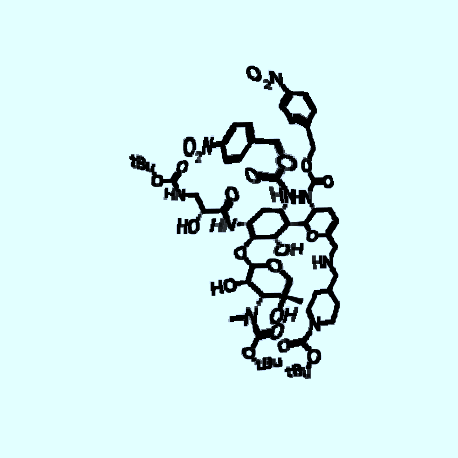 CN(C(=O)OC(C)(C)C)[C@@H]1[C@@H](O)[C@@H](O[C@@H]2[C@@H](O)[C@H](C3OC(CNCC4CCN(C(=O)OC(C)(C)C)CC4)=CC[C@H]3NC(=O)OCc3ccc([N+](=O)[O-])cc3)[C@@H](NC(=O)OCc3ccc([N+](=O)[O-])cc3)C[C@H]2NC(=O)[C@H](O)CNC(=O)OC(C)(C)C)OC[C@]1(C)O